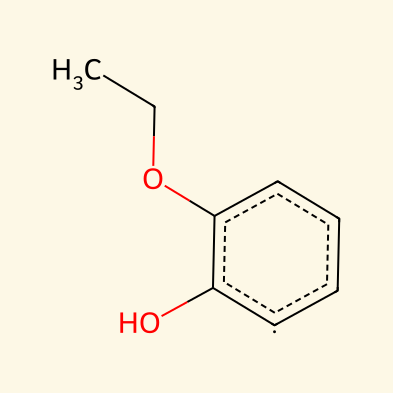 CCOc1ccc[c]c1O